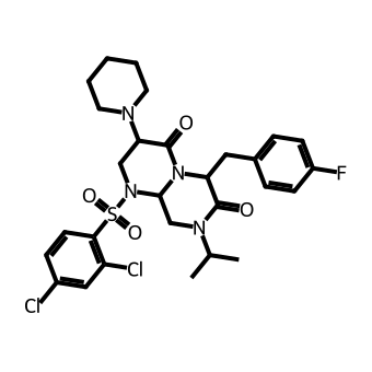 CC(C)N1CC2N(C(=O)C(N3CCCCC3)CN2S(=O)(=O)c2ccc(Cl)cc2Cl)C(Cc2ccc(F)cc2)C1=O